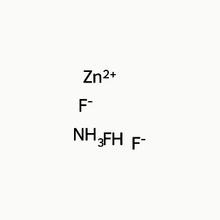 F.N.[F-].[F-].[Zn+2]